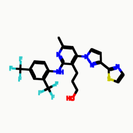 Cc1cc(-n2ccc(-c3nccs3)n2)c(CCCO)c(Nc2ccc(C(F)(F)F)cc2C(F)(F)F)n1